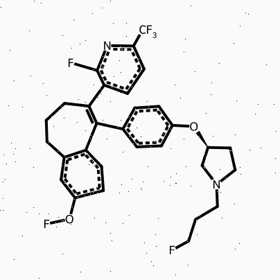 FCCCN1CC[C@H](Oc2ccc(C3=C(c4ccc(C(F)(F)F)nc4F)CCCc4cc(OF)ccc43)cc2)C1